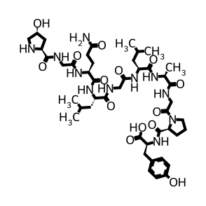 CC(C)C[C@H](NC(=O)CNC(=O)[C@H](CC(C)C)NC(=O)[C@H](CCC(N)=O)NC(=O)CNC(=O)[C@@H]1C[C@@H](O)CN1)C(=O)N[C@@H](C)C(=O)NCC(=O)N1CCC[C@H]1C(=O)N[C@@H](Cc1ccc(O)cc1)C(=O)O